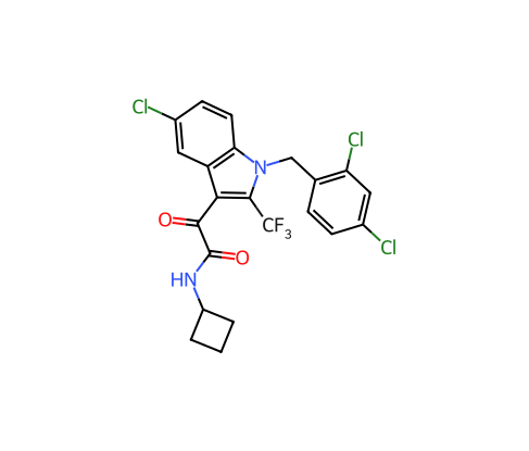 O=C(NC1CCC1)C(=O)c1c(C(F)(F)F)n(Cc2ccc(Cl)cc2Cl)c2ccc(Cl)cc12